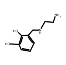 NCCNCc1cccc(O)c1O